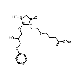 COC(=O)CCCSCC[C@H]1C(=O)C[C@@H](O)[C@@H]1OCC(O)COc1ccccc1